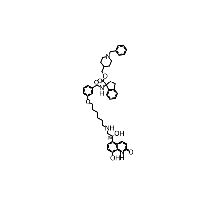 O=C(NC1(C(=O)OCC2CCN(Cc3ccccc3)CC2)CCc2ccccc21)c1cccc(OCCCCCCNC[C@H](O)c2ccc(O)c3[nH]c(=O)ccc23)c1